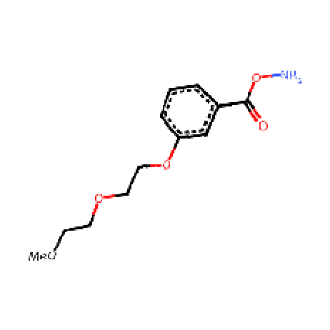 COCCOCCOc1cccc(C(=O)ON)c1